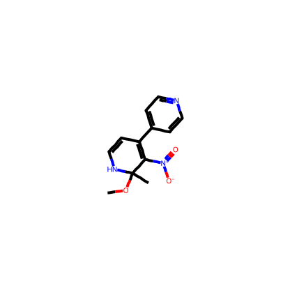 COC1(C)NC=CC(c2ccncc2)=C1[N+](=O)[O-]